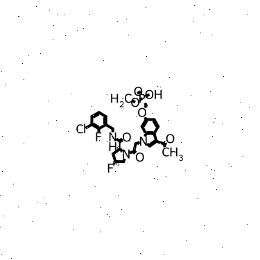 [CH2]OP(=O)(O)COc1ccc2c(C(C)=O)cn(CC(=O)N3C[C@H](F)C[C@H]3C(=O)NCc3cccc(Cl)c3F)c2c1